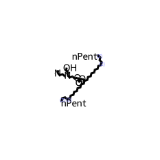 CCCCC/C=C\C/C=C\CCCCCCCCC(CCCCCCCC/C=C\C/C=C\CCCCC)OC(=O)OCCCN(CCO)CCCN(C)C